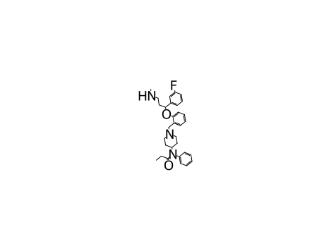 CCC(=O)N(c1ccccc1)C1CCN(Cc2ccccc2OC(CCNC)c2cccc(F)c2)CC1